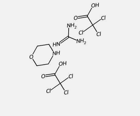 C1COCCN1.N=C(N)N.O=C(O)C(Cl)(Cl)Cl.O=C(O)C(Cl)(Cl)Cl